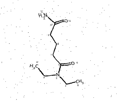 CCN(CC)C(=O)CCCC(N)=O